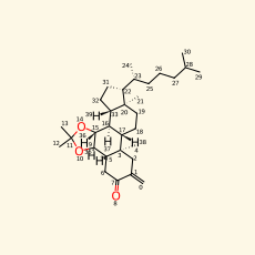 C=C1C[C@@]2(C)[C@H](CC1=O)[C@H]1OC(C)(C)O[C@@H]1[C@@H]1[C@@H]2CC[C@]2(C)[C@@H]([C@H](C)CCCC(C)C)CC[C@@H]12